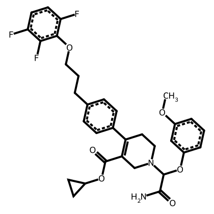 COc1cccc(OC(C(N)=O)N2CCC(c3ccc(CCCOc4c(F)ccc(F)c4F)cc3)=C(C(=O)OC3CC3)C2)c1